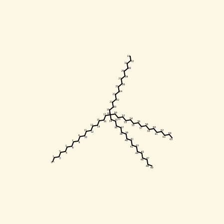 [CH2]CCCCCCCCCCCCCCCCCC(CCCCCCCCCCCCCCC)(CCCCCCCCCCCCCCCC)CCCCCCCCCCCCCCCC